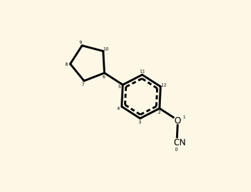 N#COc1ccc(C2CCCC2)cc1